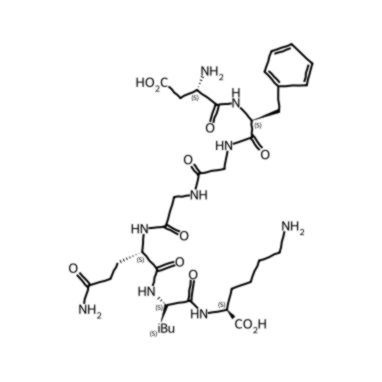 CC[C@H](C)[C@H](NC(=O)[C@H](CCC(N)=O)NC(=O)CNC(=O)CNC(=O)[C@H](Cc1ccccc1)NC(=O)[C@@H](N)CC(=O)O)C(=O)N[C@@H](CCCCN)C(=O)O